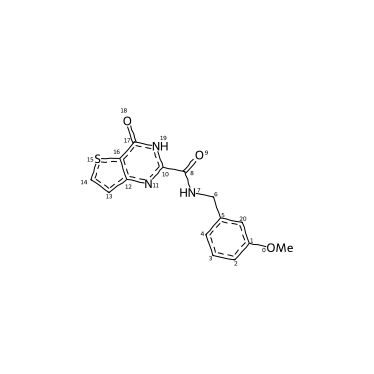 COc1cccc(CNC(=O)c2nc3ccsc3c(=O)[nH]2)c1